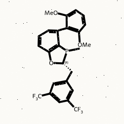 COc1cccc(OC)c1-c1cccc2c1P(C)[C@H](Cc1cc(C(F)(F)F)cc(C(F)(F)F)c1)O2